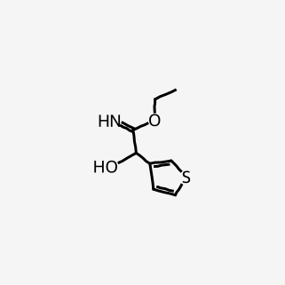 CCOC(=N)C(O)c1ccsc1